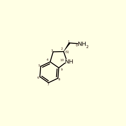 NC[C@@H]1Cc2ccccc2N1